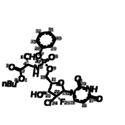 CCCCOC(=O)[C@H](C)NP(=O)(OC[C@H]1OC(n2ccc(=O)[nH]c2=O)[C@@](F)(Cl)[C@@H]1O)Oc1ccccc1